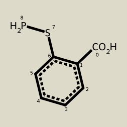 O=C(O)c1ccccc1SP